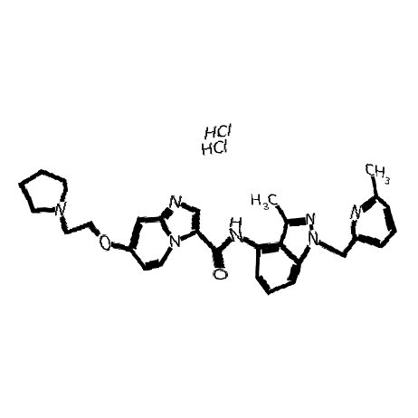 Cc1cccc(Cn2nc(C)c3c(NC(=O)c4cnc5cc(OCCN6CCCC6)ccn45)cccc32)n1.Cl.Cl